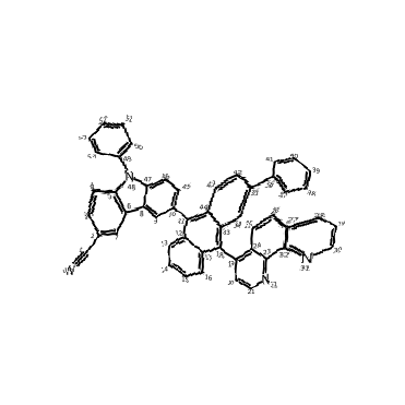 N#Cc1ccc2c(c1)c1cc(-c3c4ccccc4c(-c4ccnc5c4ccc4cccnc45)c4cc(-c5ccccc5)ccc34)ccc1n2-c1ccccc1